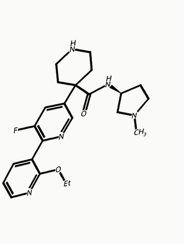 CCOc1ncccc1-c1ncc(C2(C(=O)N[C@H]3CCN(C)C3)CCNCC2)cc1F